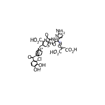 Nc1nc(/C(=N/O[C@@H](CC(=O)O)C(=O)O)C(=O)N[C@@H]2C(=O)N3C(C(=O)O)=C(C[N+]45CCC(CC4)N(C(=O)c4ccc(O)c(O)c4Cl)CC5)CS[C@H]23)cs1